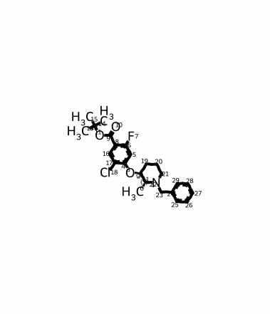 C[C@H]1[C@@H](Oc2cc(F)c(C(=O)OC(C)(C)C)cc2Cl)CCCN1Cc1ccccc1